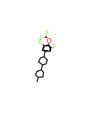 CC1CCC(C2CCC(c3cc(F)c(OC(F)F)c(F)c3)CC2)CC1